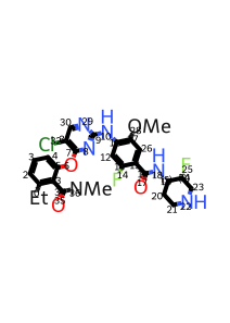 CCc1cccc(Oc2nc(Nc3cc(F)c(C(=O)N[C@H]4CCNC[C@H]4F)cc3OC)ncc2Cl)c1C(=O)NC